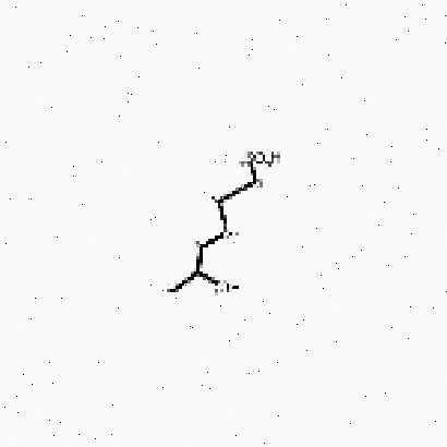 CC(O)CSCCS(=O)(=O)O